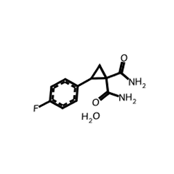 NC(=O)C1(C(N)=O)CC1c1ccc(F)cc1.O